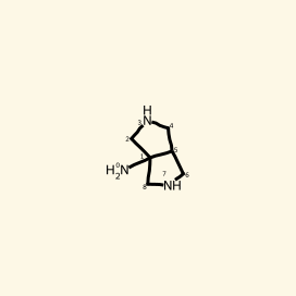 NC12CNCC1CNC2